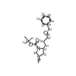 CC(C)(C)OC(=O)N1C[C@H](F)CC1CCCOCc1ccccc1